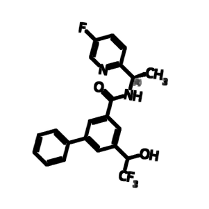 C[C@@H](NC(=O)c1cc(-c2ccccc2)cc(C(O)C(F)(F)F)c1)c1ccc(F)cn1